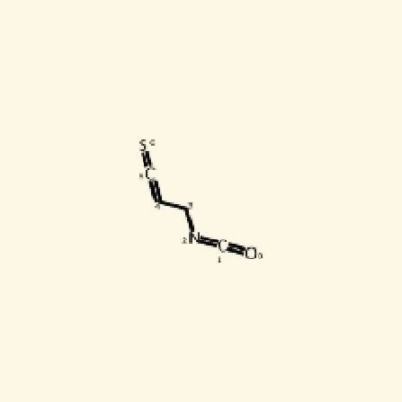 O=C=NCC=C=S